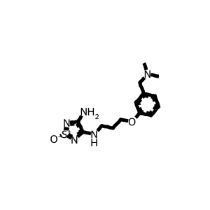 CN(C)Cc1cccc(OCCCNc2n[s+]([O-])nc2N)c1